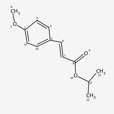 COc1[c]cc(/C=C/C(=O)OC(C)C)cc1